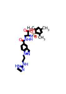 Cc1cc(C)c(S(=O)(=O)NC(CNC(=O)c2ccc3c(cnn3CCCNc3ncc[nH]3)c2)C(=O)O)c(C)c1